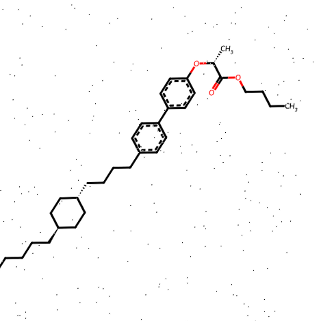 CCCCC[C@H]1CC[C@H](CCCCc2ccc(-c3ccc(O[C@H](C)C(=O)OCCCC)cc3)cc2)CC1